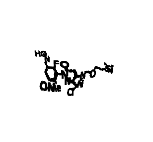 COc1ccc(C=NO)c(F)c1-n1nc2c(Cl)nn(COCC[Si](C)(C)C)c2cc1=O